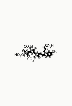 O=C(O)CN1C(=O)S/C(=c2/s/c(=c3/sc(=CC=C4Sc5ccc(C(F)(F)F)cc5N4CCCS(=O)(=O)O)c(=O)n3CC(=O)O)c(=O)n2CC(=O)O)C1=O